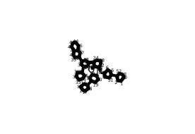 c1ccc(-c2ccc(N(c3ccc(-c4ccccc4)cc3)c3cccc4c3oc3c(-c5ccccc5)cc(-c5ccc6ccccc6c5)cc34)cc2)cc1